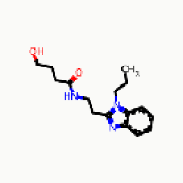 CCCn1c(CCNC(=O)CCCO)nc2ccccc21